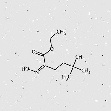 CCOC(=O)/C(CCC(C)(C)C)=N\O